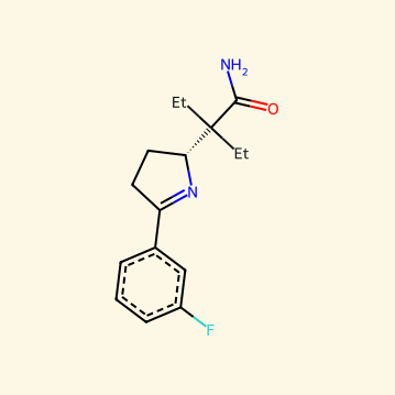 CCC(CC)(C(N)=O)[C@H]1CCC(c2cccc(F)c2)=N1